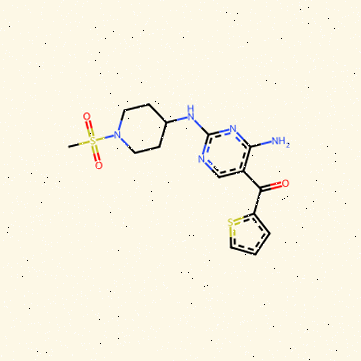 CS(=O)(=O)N1CCC(Nc2ncc(C(=O)c3cccs3)c(N)n2)CC1